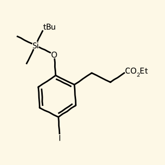 CCOC(=O)CCc1cc(I)ccc1O[Si](C)(C)C(C)(C)C